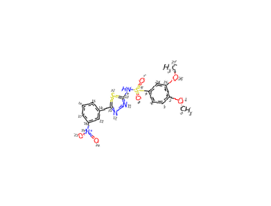 COc1ccc(S(=O)(=O)Nc2nnc(-c3cccc([N+](=O)[O-])c3)s2)cc1OC